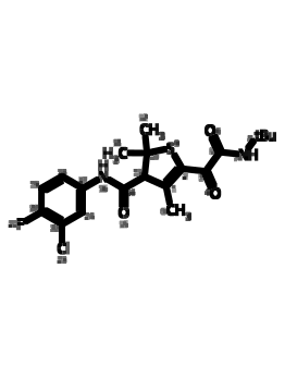 CC1=C(C(=O)C(=O)NC(C)(C)C)SC(C)(C)C1C(=O)Nc1ccc(F)c(Cl)c1